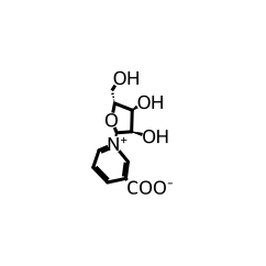 O=C([O-])c1ccc[n+]([C@@H]2O[C@H](CO)[C@@H](O)[C@H]2O)c1